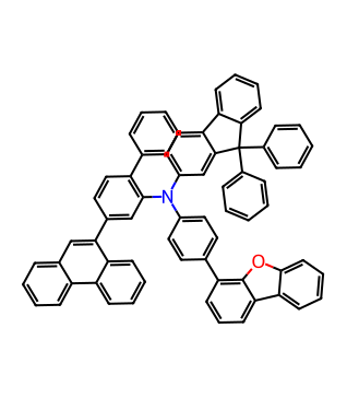 c1ccc(-c2ccc(-c3cc4ccccc4c4ccccc34)cc2N(c2ccc(-c3cccc4c3oc3ccccc34)cc2)c2ccc3c(c2)C(c2ccccc2)(c2ccccc2)c2ccccc2-3)cc1